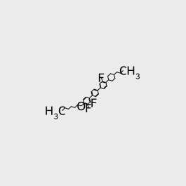 CCCCCCOc1ccc(-c2ccc(-c3ccc(C4CCC(CCC)CC4)c(F)c3)cc2)c(F)c1F